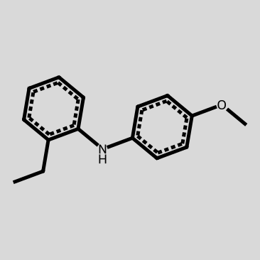 CCc1ccccc1Nc1ccc(OC)cc1